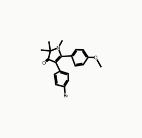 COc1ccc(C2=C(c3ccc(Br)cc3)C(=O)C(C)(C)N2C)cc1